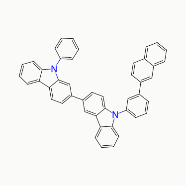 c1ccc(-n2c3ccccc3c3ccc(-c4ccc5c(c4)c4ccccc4n5-c4cccc(-c5ccc6ccccc6c5)c4)cc32)cc1